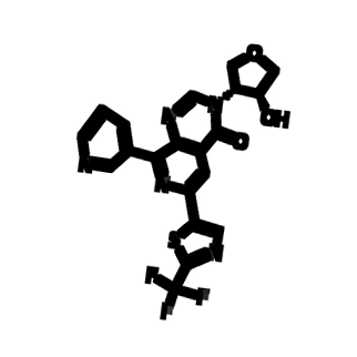 O=c1c2cc(-c3cnc(C(F)(F)F)s3)nc(-c3cccnc3)c2ncn1[C@@H]1COC[C@H]1O